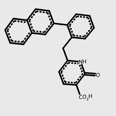 O=C(O)c1ccc(Cc2ccccc2-c2ccc3ccccc3c2)[nH]c1=O